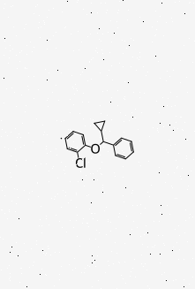 Clc1c[c]ccc1OC(c1ccccc1)C1CC1